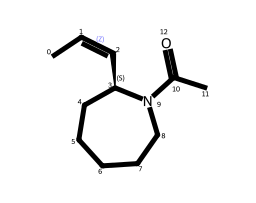 C/C=C\[C@@H]1CCCCCN1C(C)=O